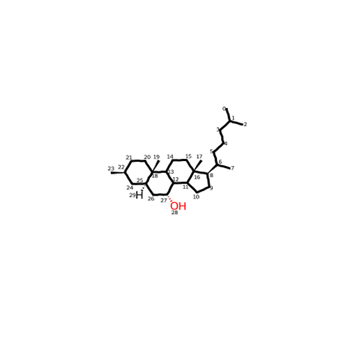 CC(C)CCCC(C)[C@H]1CCC2C3C(CC[C@@]21C)[C@@]1(C)CC[C@H](C)C[C@@H]1C[C@H]3O